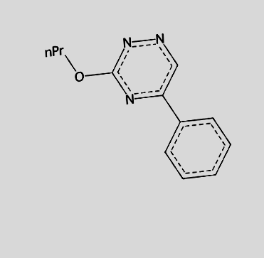 CCCOc1nncc(-c2ccccc2)n1